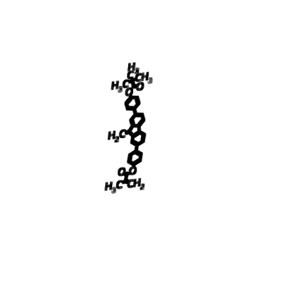 C=C(C)C(=O)Oc1ccc(-c2ccc3c(c2)C(=C)c2cc(-c4ccc(OC(=O)C(C)(C)C)cc4)ccc2-3)cc1